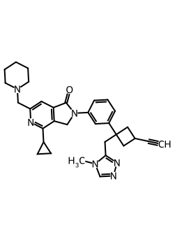 C#CC1CC(Cc2nncn2C)(c2cccc(N3Cc4c(cc(CN5CCCCC5)nc4C4CC4)C3=O)c2)C1